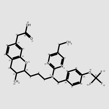 CCc1cnc(N(CCCC2Oc3cc(CC(=O)O)ccc3CC2C)Cc2ccc(OC(F)(F)F)cc2)nc1